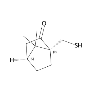 CC1(C)[C@H]2CC[C@]1(CS)C(=O)C2